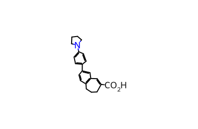 O=C(O)C1=Cc2cc(-c3ccc(N4CCCC4)cc3)ccc2CCC1